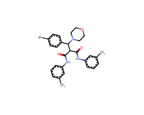 CC(C)c1ccc(C(C(C(=O)Nc2cccc(C(F)(F)F)c2)C(=O)Nc2cccc(C(F)(F)F)c2)N2CCOCC2)cc1